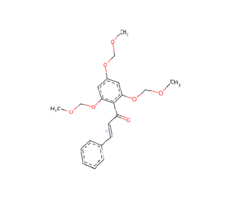 COCOc1cc(OCOC)c(C(=O)/C=C/c2ccccc2)c(OCOC)c1